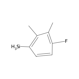 Cc1c(F)ccc([SiH3])c1C